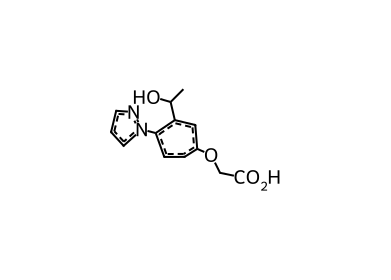 CC(O)c1cc(OCC(=O)O)ccc1-n1cccn1